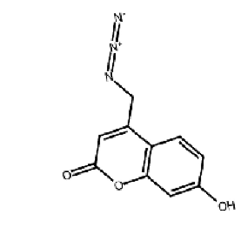 [N-]=[N+]=NCc1cc(=O)oc2cc(O)ccc12